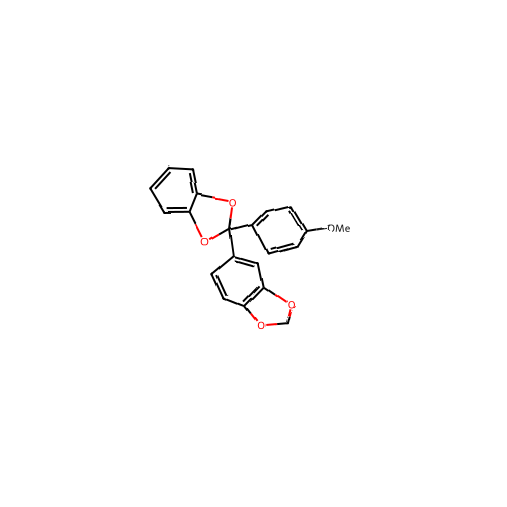 COc1ccc(C2(c3ccc4c(c3)OCO4)Oc3c[c]ccc3O2)cc1